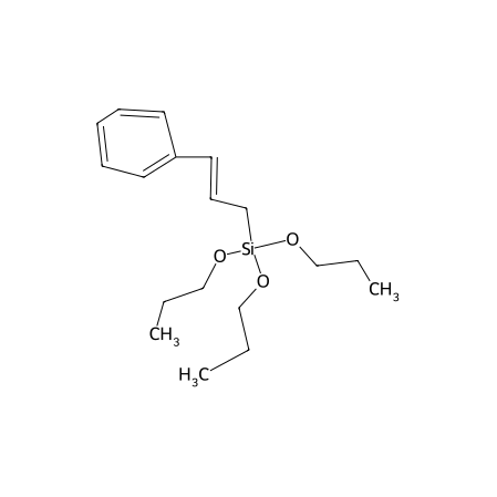 CCCO[Si](C/C=C/c1ccccc1)(OCCC)OCCC